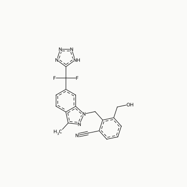 Cc1nn(Cc2c(C#N)cccc2CO)c2cc(C(F)(F)c3nnn[nH]3)ccc12